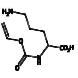 C=COC(=O)NC(CCCN)C(=O)O